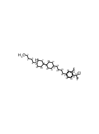 CCCCC[SiH]1CCC(C2CCC(CCCCc3ccc(C(F)Cl)c(F)c3)CC2)CC1